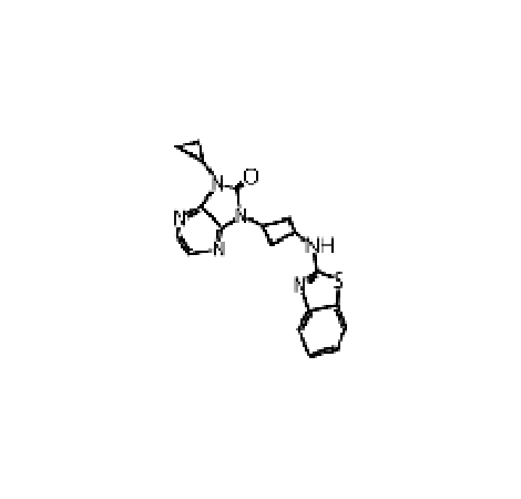 O=c1n(C2CC2)c2nccnc2n1C1CC(Nc2nc3ccccc3s2)C1